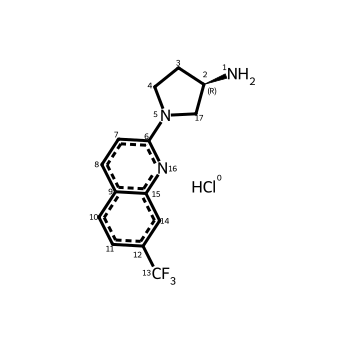 Cl.N[C@@H]1CCN(c2ccc3ccc(C(F)(F)F)cc3n2)C1